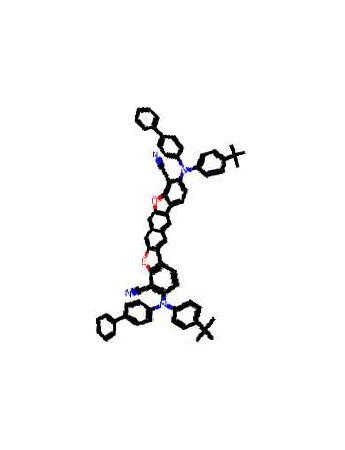 CC(C)(C)c1ccc(N(c2ccc(-c3ccccc3)cc2)c2ccc3c(oc4cc5cc6oc7c(C#N)c(N(c8ccc(-c9ccccc9)cc8)c8ccc(C(C)(C)C)cc8)ccc7c6cc5cc43)c2C#N)cc1